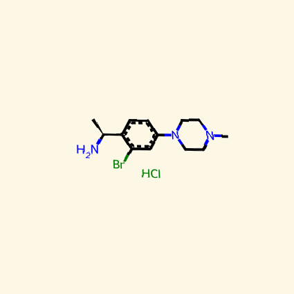 C[C@H](N)c1ccc(N2CCN(C)CC2)cc1Br.Cl